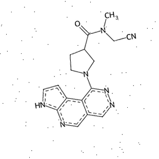 CN(CC#N)C(=O)C1CCN(c2nncc3cnc4[nH]ccc4c23)C1